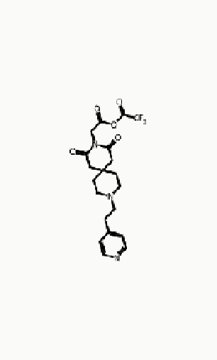 O=C(CN1C(=O)CC2(CCN(CCc3ccncc3)CC2)CC1=O)OC(=O)C(F)(F)F